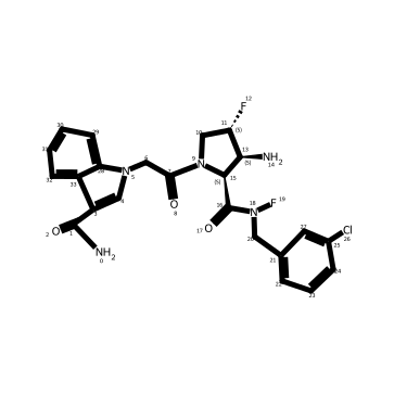 NC(=O)c1cn(CC(=O)N2C[C@H](F)[C@@H](N)[C@H]2C(=O)N(F)Cc2cccc(Cl)c2)c2ccccc12